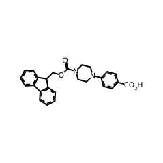 O=C(O)c1ccc(N2CCN(C(=O)OCC3c4ccccc4-c4ccccc43)CC2)cc1